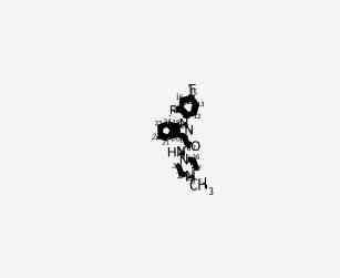 CN1CCN(NC(=O)c2nn(-c3ccc(F)cc3F)c3c2C2CCC3C2)CC1